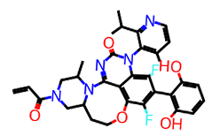 C=CC(=O)N1CC(C)N2c3nc(=O)n(-c4c(C)ccnc4C(C)C)c4c(F)c(-c5c(O)cccc5O)c(F)c(c34)OCCC2C1